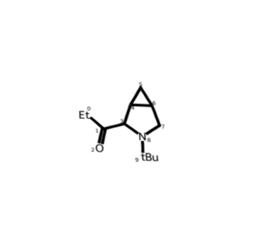 CCC(=O)C1C2CC2CN1C(C)(C)C